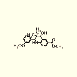 COC(=O)c1ccc2c(c1)C(O)C(C)(C)C(c1cccc(OC)c1)N2